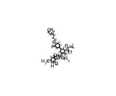 CCN(C(=O)C1CC1)c1cc(-c2ccc(OCCCN3CCOCC3)c(F)c2)cc(C(=O)NCc2c(C)cc(C)[nH]c2=O)c1C